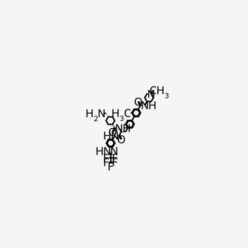 Cc1cc(C(=O)NC2CCN(C)CC2)ccc1-c1ccc(C[C@H](NC(=O)[C@H]2CC[C@H](CN)CC2)C(=O)Nc2ccc3[nH]c(C(F)(F)C(F)(F)F)nc3c2)cc1